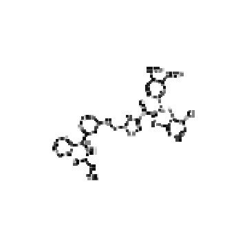 COc1ccc([C@H](Cc2c(Cl)cncc2Cl)OC(=O)c2coc(COc3cccc([C@@H](NC(=O)OC(C)(C)C)c4ccccc4)c3)n2)cc1OC